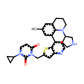 N#Cc1cc2c(c(-c3ccnc4cc(Cn5c(=O)ccn(C6CC6)c5=O)sc34)c1)N(C1CCNC1)CCC2